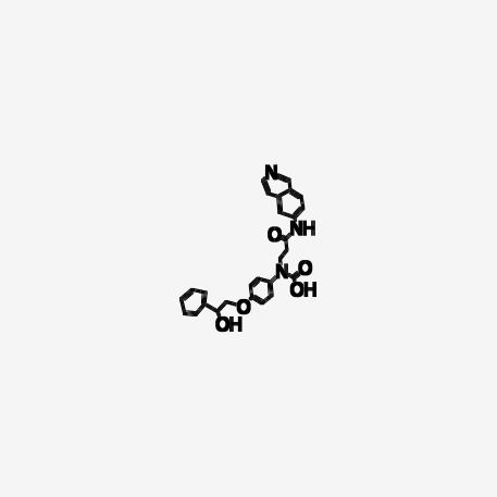 O=C(CCN(C(=O)O)c1ccc(OCC(O)c2ccccc2)cc1)Nc1ccc2cnccc2c1